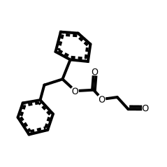 O=CCOC(=O)OC(Cc1ccccc1)c1ccccc1